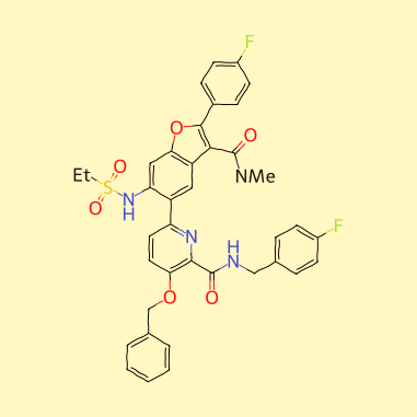 CCS(=O)(=O)Nc1cc2oc(-c3ccc(F)cc3)c(C(=O)NC)c2cc1-c1ccc(OCc2ccccc2)c(C(=O)NCc2ccc(F)cc2)n1